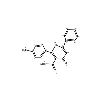 CNC(=O)c1c(-c2ccc(C)cc2)oc(-c2ccccc2)cc1=O